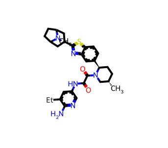 CCc1cc(NC(=O)C(=O)N2C[C@@H](C)CC[C@@H]2c2ccc3sc(C4CC5CCC(C4)N5C)nc3c2)cnc1N